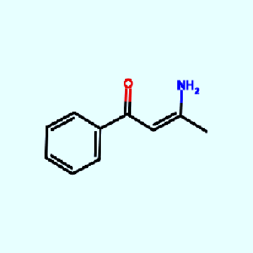 CC(N)=CC(=O)c1ccccc1